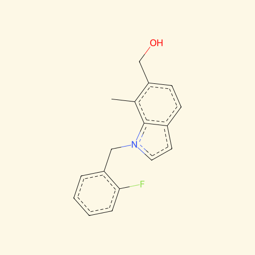 Cc1c(CO)ccc2ccn(Cc3ccccc3F)c12